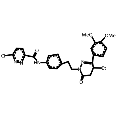 CCC1CC(=O)N(CCc2ccc(NC(=O)c3ccc(Cl)nn3)cc2)N=C1c1ccc(OC)c(OC)c1